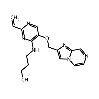 C=Cc1ncc(OCc2cn3ccncc3n2)c(NCCCC)n1